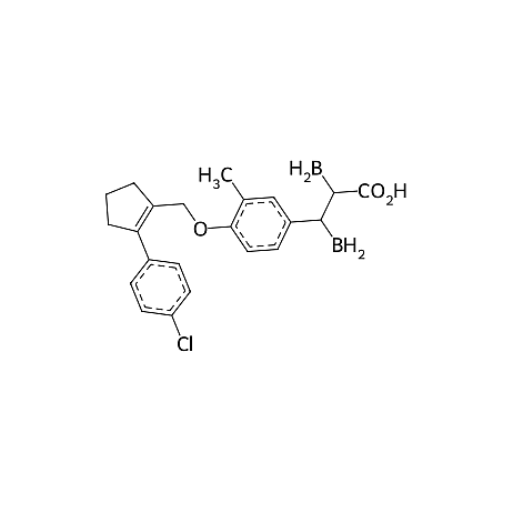 BC(C(=O)O)C(B)c1ccc(OCC2=C(c3ccc(Cl)cc3)CCC2)c(C)c1